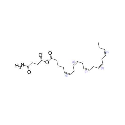 CC/C=C\C/C=C\C/C=C\C/C=C\C/C=C\CCCC(=O)OC(=O)CCC(N)=O